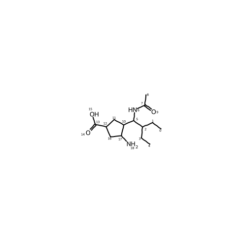 CCC(CC)C(NC(C)=O)C1CC(C(=O)O)CC1N